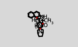 CC(C)(Oc1ccc2ccccc2c1Cl)C(=O)NC1CC2CCC(C1)N2c1ccc(C(N)=O)cn1